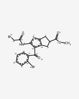 COC(=O)C1Cc2sc(NC(=O)CBr)c(C(=O)c3ccccc3Br)c2C1